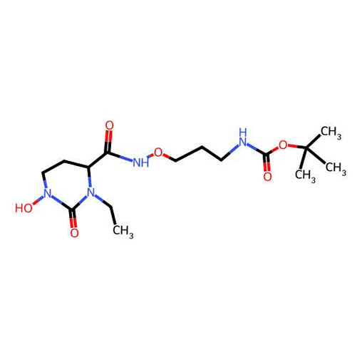 CCN1C(=O)N(O)CCC1C(=O)NOCCCNC(=O)OC(C)(C)C